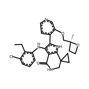 CCc1c(Cl)cccc1Nc1c(-c2ccncc2OC[C@]2(C)CCO2)[nH]c2c1C(=O)NCC21CC1